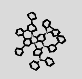 c1ccc(-c2cccc(N3c4cc(N(c5ccccc5)c5ccccc5)ccc4B4c5cc(-c6ccccc6)cc6c5N(c5ccc(-c7ccccc7)cc5-c5ccccc5-6)c5cc(-n6c7ccccc7c7ccccc76)cc3c54)c2)cc1